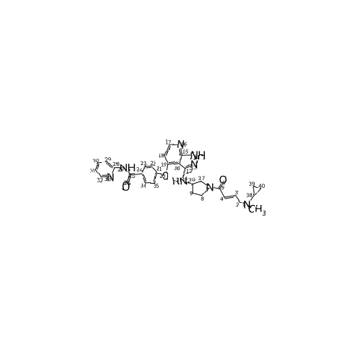 CN(CC=CC(=O)N1CC[C@@H](Nc2n[nH]c3nccc(Oc4ccc(C(=O)Nc5ccccn5)cc4)c23)C1)C1CC1